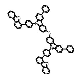 c1ccc(-c2ccc3c(c2)c2cc(Sc4ccc5c(c4)c4cc(-c6ccccc6)ccc4n5-c4ccc(-c5cccc6c5oc5ccccc56)cc4)ccc2n3-c2ccc(-c3cccc4c3oc3ccccc34)cc2)cc1